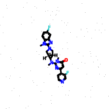 CN(c1nc(-c2ccncc2F)cc(=O)n1C)C1[C@H]2CN(c3nc4cc(F)ccc4n3C)C[C@@H]12